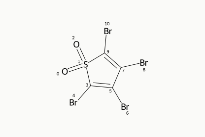 O=S1(=O)C(Br)=C(Br)C(Br)=C1Br